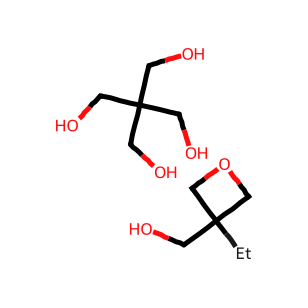 CCC1(CO)COC1.OCC(CO)(CO)CO